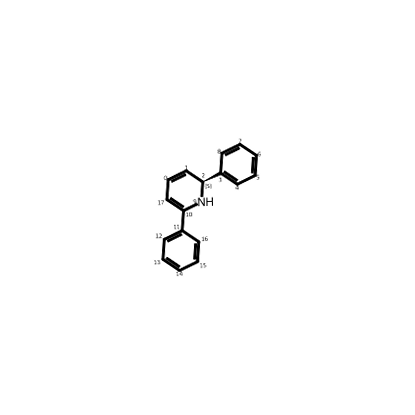 C1=C[C@@H](c2ccccc2)NC(c2ccccc2)=C1